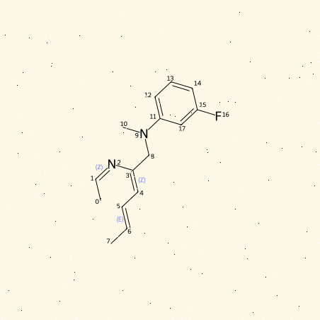 C\C=N/C(=C\C=C\C)CN(C)c1cccc(F)c1